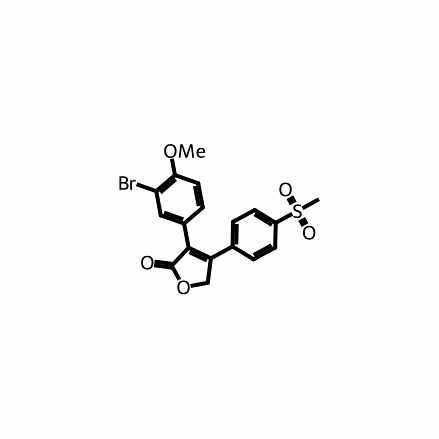 COc1ccc(C2=C(c3ccc(S(C)(=O)=O)cc3)COC2=O)cc1Br